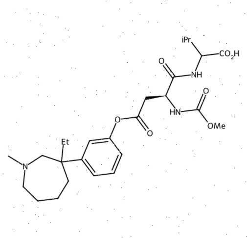 CCC1(c2cccc(OC(=O)C[C@H](NC(=O)OC)C(=O)NC(C(=O)O)C(C)C)c2)CCCCN(C)C1